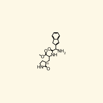 COC(=O)C(C[C@@H]1CCNC1=O)NC(=O)C(N)C1=Cc2ccccc2C1